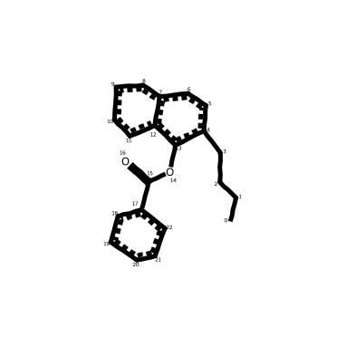 CCCCc1ccc2ccccc2c1OC(=O)c1ccccc1